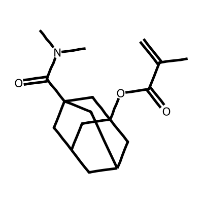 C=C(C)C(=O)OC12CC3CC(C1)CC(C(=O)N(C)C)(C3)C2